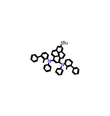 Cc1c(-c2ccccc2)cccc1N(c1ccccc1)c1cc(N(c2ccccc2)c2cccc(-c3ccccc3)c2C)c2ccc3cc(C(C)(C)C)cc4ccc1c2c43